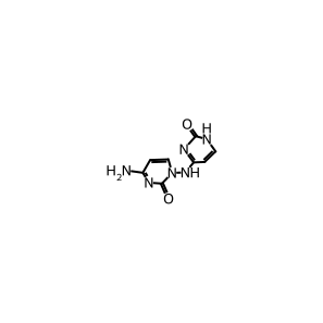 Nc1ccn(Nc2cc[nH]c(=O)n2)c(=O)n1